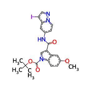 COc1ccc2c(c1)c(C(=O)Nc1ccn3ncc(I)c3c1)cn2C(=O)OC(C)(C)C